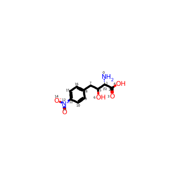 N[C@H](C(=O)O)C(O)Cc1ccc([N+](=O)[O-])cc1